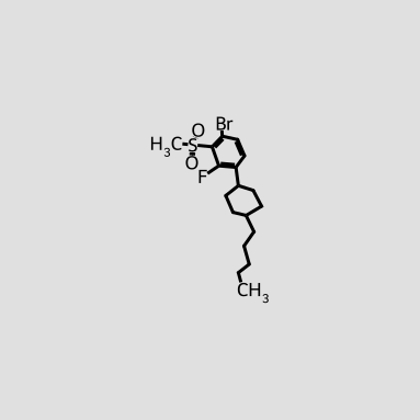 CCCCCC1CCC(c2ccc(Br)c(S(C)(=O)=O)c2F)CC1